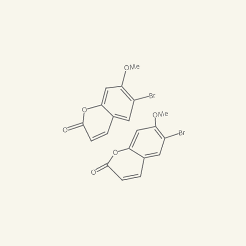 COc1cc2oc(=O)ccc2cc1Br.COc1cc2oc(=O)ccc2cc1Br